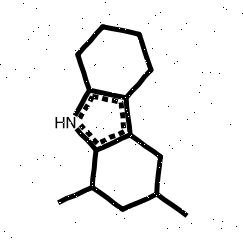 CC1Cc2c([nH]c3c2CCCC3)C(C)C1